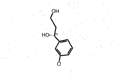 OCC[C@@H](O)c1cccc(Cl)c1